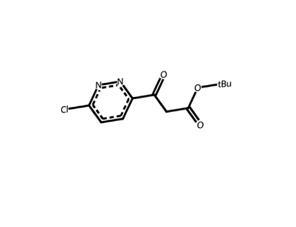 CC(C)(C)OC(=O)CC(=O)c1ccc(Cl)nn1